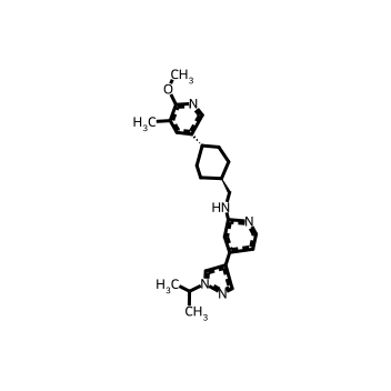 COc1ncc([C@H]2CC[C@H](CNc3cc(-c4cnn(C(C)C)c4)ccn3)CC2)cc1C